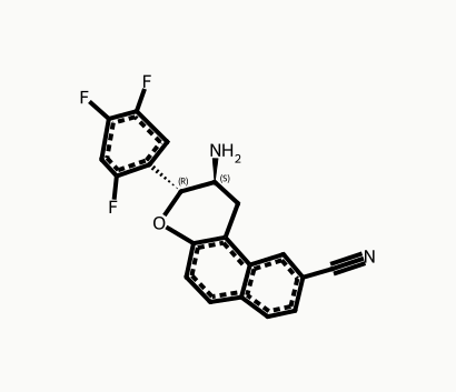 N#Cc1ccc2ccc3c(c2c1)C[C@H](N)[C@@H](c1cc(F)c(F)cc1F)O3